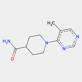 Cc1cncnc1N1CCC(C(N)=O)CC1